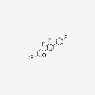 CCCC1CCC(c2ccc(-c3ccc(F)cc3)c(F)c2F)OC1